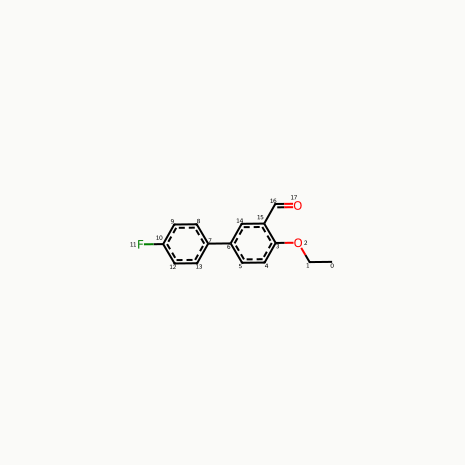 CCOc1ccc(-c2ccc(F)cc2)cc1C=O